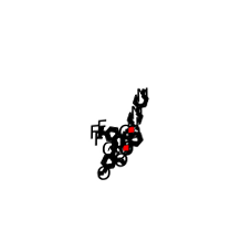 COc1ccc(S(=O)(=O)N2C(=O)C(OC(=O)N3CCN(C4CCN(C)CC4)CC3)(c3ccccc3OC)c3ccc(C(F)(F)F)cc32)c(OC)c1